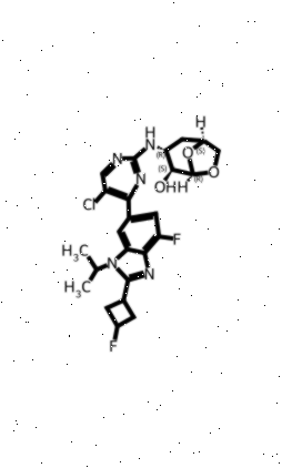 CC(C)n1c(C2CC(F)C2)nc2c(F)cc(-c3nc(N[C@@H]4C[C@H]5CO[C@H](O5)[C@H]4O)ncc3Cl)cc21